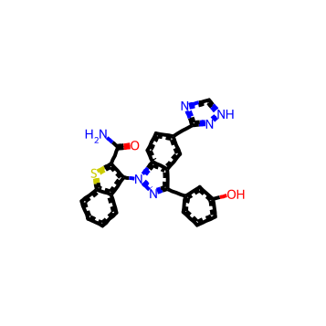 NC(=O)c1sc2ccccc2c1-n1nc(-c2cccc(O)c2)c2cc(-c3nc[nH]n3)ccc21